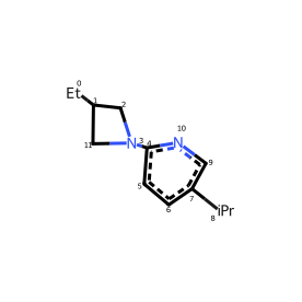 CCC1CN(c2ccc(C(C)C)cn2)C1